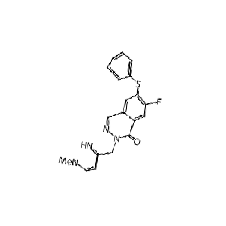 CN/C=C\C(=N)Cn1ncc2cc(Sc3ccccc3)c(F)cc2c1=O